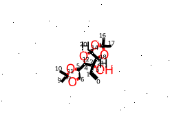 C=CC1(O)[C@@H]([C@H]2COC(C)(C)O2)O[C@@H]2OC(C)(C)O[C@@H]21